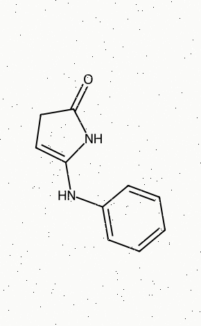 O=C1CC=C(Nc2ccccc2)N1